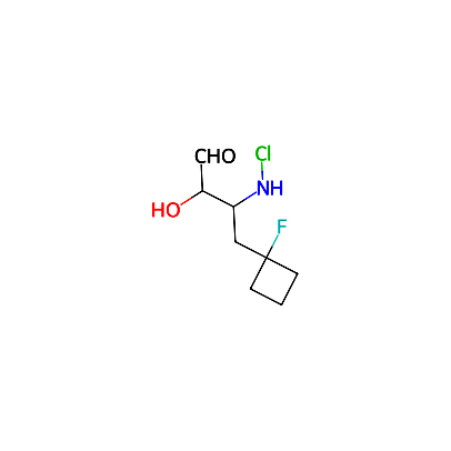 O=CC(O)C(CC1(F)CCC1)NCl